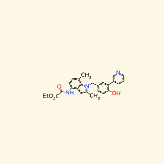 CCOC(=O)C(=O)Nc1ccc(C)c2c1cc(C)n2Cc1ccc(O)c(-c2cccnc2)c1